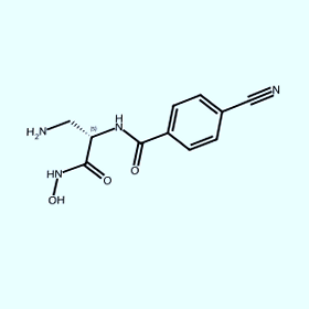 N#Cc1ccc(C(=O)N[C@@H](CN)C(=O)NO)cc1